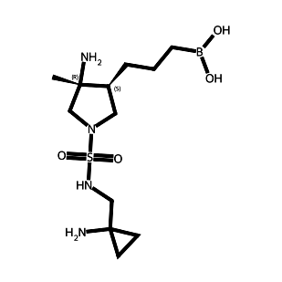 C[C@]1(N)CN(S(=O)(=O)NCC2(N)CC2)C[C@@H]1CCCB(O)O